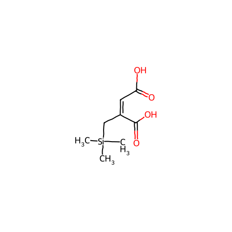 C[Si](C)(C)CC(=CC(=O)O)C(=O)O